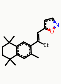 CCC(=Cc1ccno1)c1cc2c(cc1C)C(C)(C)CCC2(C)C